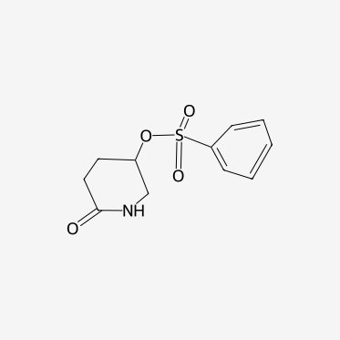 O=C1CCC(OS(=O)(=O)c2ccccc2)CN1